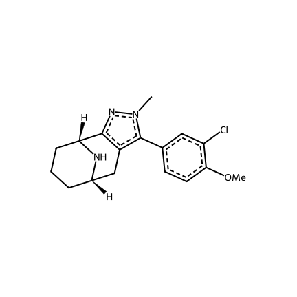 COc1ccc(-c2c3c(nn2C)[C@H]2CCC[C@@H](C3)N2)cc1Cl